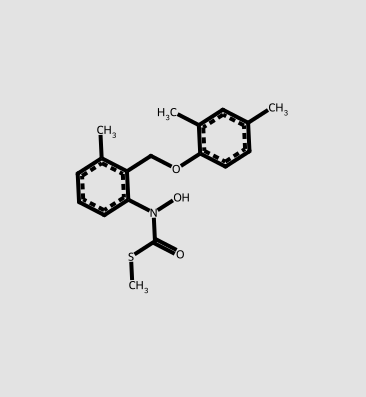 CSC(=O)N(O)c1cccc(C)c1COc1ccc(C)cc1C